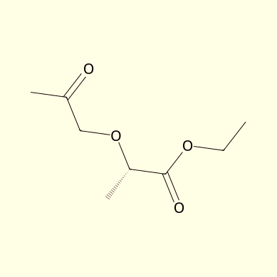 CCOC(=O)[C@H](C)OCC(C)=O